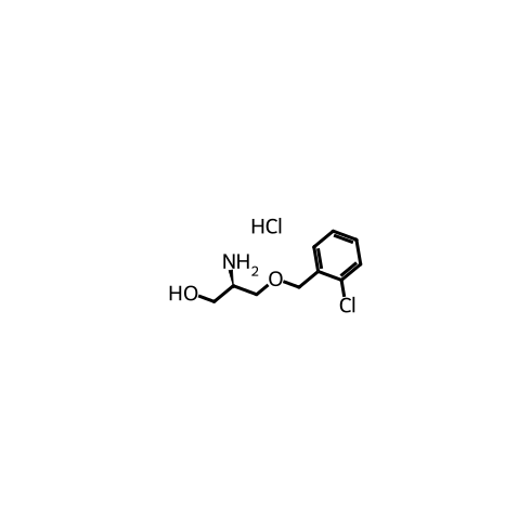 Cl.N[C@H](CO)COCc1ccccc1Cl